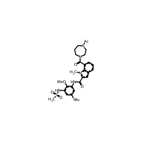 COc1c(NC(=O)c2cc3cccc(C(=O)N4CCCN(C(C)=O)CC4)c3n2C)cc(C(C)(C)C)cc1NS(C)(=O)=O